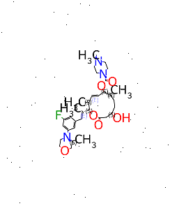 C/C(=C\c1cc(F)cc(N2CCOC[C@@H]2C)c1)[C@H]1OC(=O)C[C@@H](O)CC[C@@H](C)[C@H](OC(=O)N2CCN(C)CC2)/C=C/[C@@H]1C